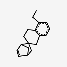 CCc1cccc2c1CCC1(C2)CC2C=CC1C2